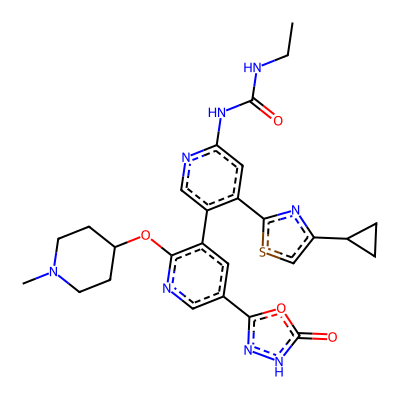 CCNC(=O)Nc1cc(-c2nc(C3CC3)cs2)c(-c2cc(-c3n[nH]c(=O)o3)cnc2OC2CCN(C)CC2)cn1